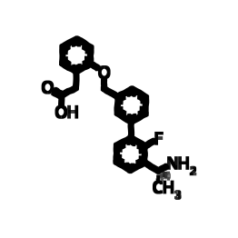 C[C@@H](N)c1cccc(-c2cccc(COc3ccccc3CC(=O)O)c2)c1F